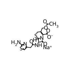 CC(=O)OCC1=C(C(=O)[O-])N2C(=O)C(NC(=O)Cc3csc(N)n3)[C@H]2SC1.[Na+]